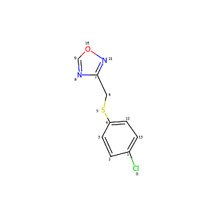 Clc1ccc(SCc2ncon2)cc1